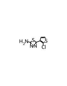 Nc1nnc(-c2ccsc2Cl)s1